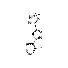 Cc1ccccc1-n1cc(-c2nn[nH]n2)cn1